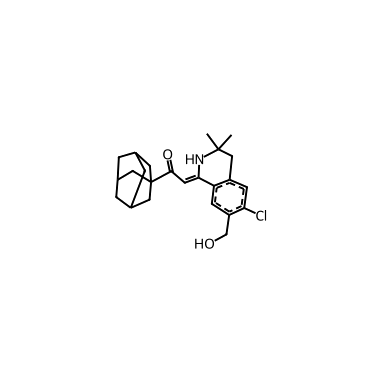 CC1(C)Cc2cc(Cl)c(CO)cc2C(=CC(=O)C23CC4CC(CC(C4)C2)C3)N1